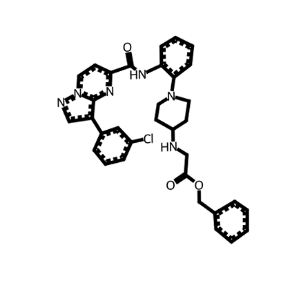 O=C(CNC1CCN(c2ccccc2NC(=O)c2ccn3ncc(-c4cccc(Cl)c4)c3n2)CC1)OCc1ccccc1